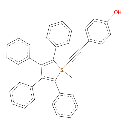 CS1(C#Cc2ccc(O)cc2)C(c2ccccc2)=C(c2ccccc2)C(c2ccccc2)=C1c1ccccc1